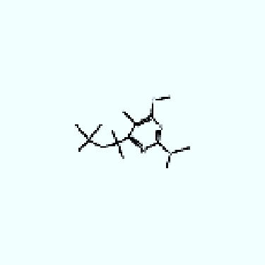 COc1nc(N(C)C)nc(C(C)(C)CC(C)(C)C)c1C